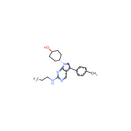 Cc1ccc(-c2cn([C@H]3CC[C@H](O)CC3)c3nc(NCCC(F)(F)F)ncc23)cc1